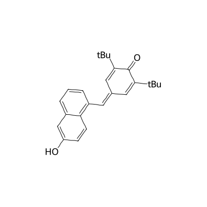 CC(C)(C)C1=CC(=Cc2cccc3cc(O)ccc23)C=C(C(C)(C)C)C1=O